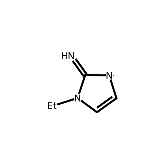 CCN1C=C[N]C1=N